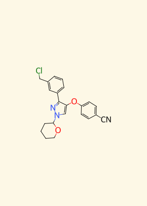 N#Cc1ccc(Oc2cn(C3CCCCO3)nc2-c2cccc(CCl)c2)cc1